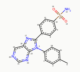 Cc1ccc(-n2c(-c3ccc(S(N)(=O)=O)cc3)nc3cncnc32)cc1